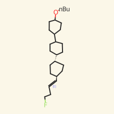 CCCCOC1CCC(C2CCC([C@H]3CC[C@H](/C=C/CCF)CC3)CC2)CC1